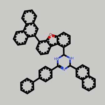 c1ccc(-c2ccc(C3=NC(c4ccc5ccccc5c4)NC(c4cccc5oc6c(-c7cc8ccccc8c8ccccc78)cccc6c45)N3)cc2)cc1